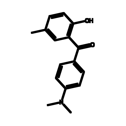 Cc1ccc(O)c(C(=O)c2ccc(N(C)C)cc2)c1